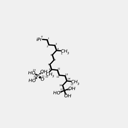 CC(C)CCCC(C)CCCC(C)CCCC(C)CC(O)(O)O.O=P(O)(O)O